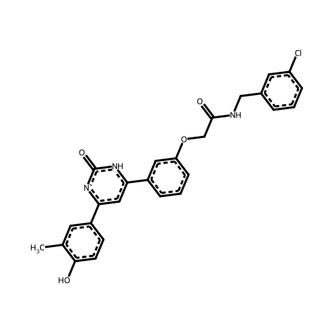 Cc1cc(-c2cc(-c3cccc(OCC(=O)NCc4cccc(Cl)c4)c3)[nH]c(=O)n2)ccc1O